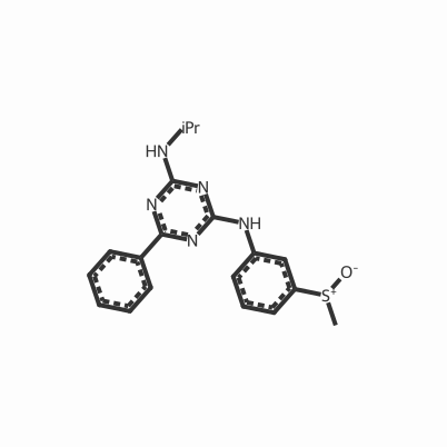 CC(C)Nc1nc(Nc2cccc([S+](C)[O-])c2)nc(-c2ccccc2)n1